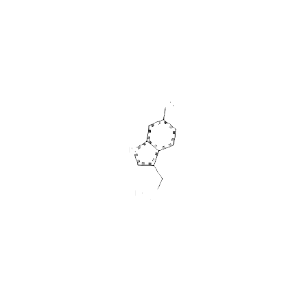 N#Cc1ccc2c(CC(=O)O)c[nH]c2c1